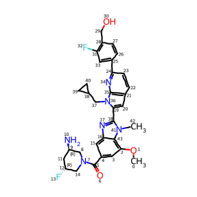 COc1cc(C(=O)N2C[C@H](N)C[C@@H](F)C2)cc2nc(-c3cc4ccc(-c5ccc(CO)c(F)c5)nc4n3CC3CC3)n(C)c12